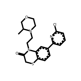 CC1COCCN1CCN1C(=O)CSc2ccc(-c3cccc(Cl)n3)cc21